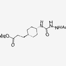 COC(=O)CC[C@H]1CC[C@H](NC(=O)NNC(C)=O)CC1